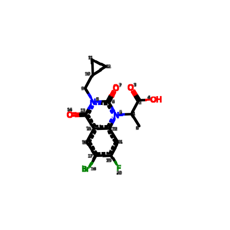 CC(C(=O)O)n1c(=O)n(CC2CC2)c(=O)c2cc(Br)c(F)cc21